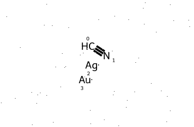 C#N.[Ag].[Au]